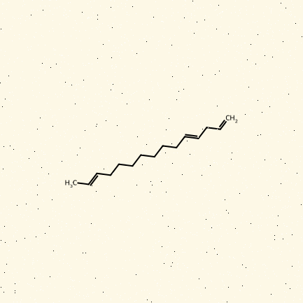 C=CCC=CCCCCCCCC=CC